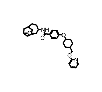 O=C(NC1CCC2CC3CC(C2)C1C3)c1ccc(OC2CCC(COc3ccccn3)CC2)cc1